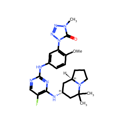 COc1ccc(Nc2ncc(F)c(N[C@@H]3C[C@H]4CCCN4C(C)(C)C3)n2)cc1-n1nnn(C)c1=O